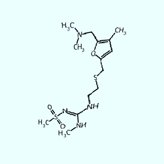 CNC(=NS(C)(=O)=O)NCCSCc1cc(C)c(CN(C)C)o1